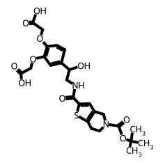 CC(C)(C)OC(=O)N1CCc2sc(C(=O)NCC(O)c3ccc(OCC(=O)O)c(OCC(=O)O)c3)cc2C1